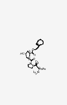 CC[C@H](C)[C@H](N)C(=O)N1CCC[C@H]1C(=O)N1CCC[C@H]1C(=O)OCc1ccccc1.Cl